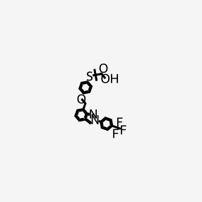 CC(C)(Sc1ccc(OCc2cccc3cn(-c4ccc(C(F)(F)F)cc4)nc23)cc1)C(=O)O